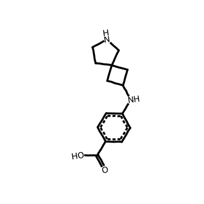 O=C(O)c1ccc(NC2CC3(CCNC3)C2)cc1